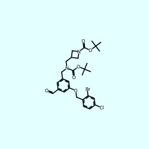 CC(C)(C)OC(=O)N(Cc1cc(C=O)cc(OCc2ccc(Cl)cc2Br)c1)CC1CN(C(=O)OC(C)(C)C)C1